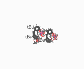 CC(C)(C)c1ccc2c(C(C)(C)C)c1Cc1c(C(C)(C)C)ccc(c1C(C)(C)C)OP(=O)([O-])O2.CC(C)(C)c1ccc2c(C(C)(C)C)c1Cc1c(C(C)(C)C)ccc(c1C(C)(C)C)OP(=O)([O-])O2.[OH][Al+2]